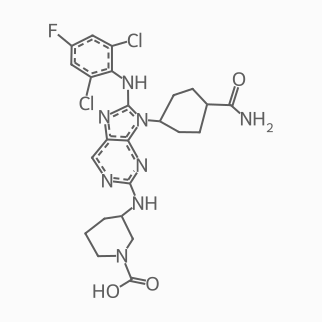 NC(=O)C1CCC(n2c(Nc3c(Cl)cc(F)cc3Cl)nc3cnc(NC4CCCN(C(=O)O)C4)nc32)CC1